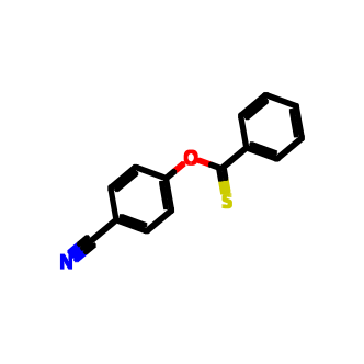 N#Cc1ccc(OC(=S)c2ccccc2)cc1